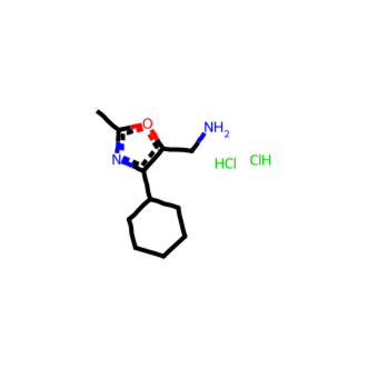 Cc1nc(C2CCCCC2)c(CN)o1.Cl.Cl